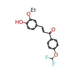 CCOc1cc(/C=C/C(=O)c2ccc(OC(F)F)cc2)ccc1O